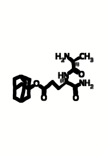 C[C@H](N)C(=O)N[C@H](CCC(=O)OC12CC3CC(CC(C3)C1)C2)C(N)=O